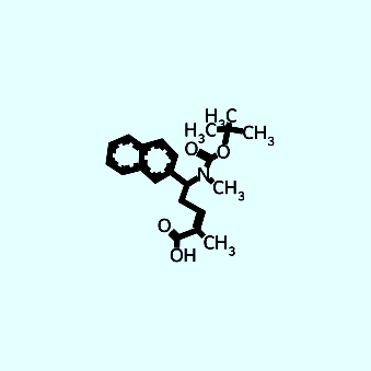 CC(=CCC(c1ccc2ccccc2c1)N(C)C(=O)OC(C)(C)C)C(=O)O